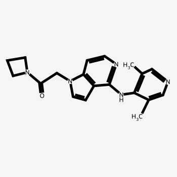 Cc1cncc(C)c1Nc1nccc2c1ccn2CC(=O)N1CCC1